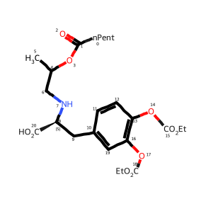 CCCCCC(=O)OC(C)CN[C@@H](Cc1ccc(OC(=O)OCC)c(OC(=O)OCC)c1)C(=O)O